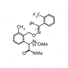 CNC(=O)C(NOC)c1cccc(C)c1CO/N=C(/c1ccccc1C(F)(F)F)C(C)C